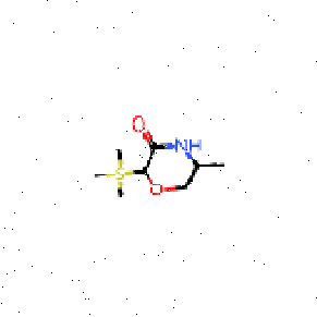 CC1COC(S(C)(C)C)C(=O)N1